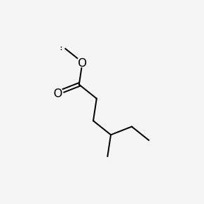 [CH]OC(=O)CCC(C)CC